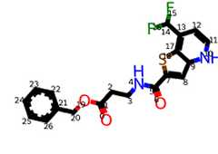 O=C(CCNC(=O)C1=CC2NC=CC(C(F)F)=C2S1)OCc1ccccc1